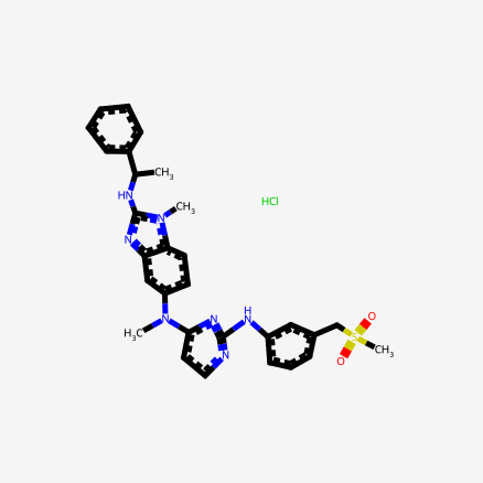 CC(Nc1nc2cc(N(C)c3ccnc(Nc4cccc(CS(C)(=O)=O)c4)n3)ccc2n1C)c1ccccc1.Cl